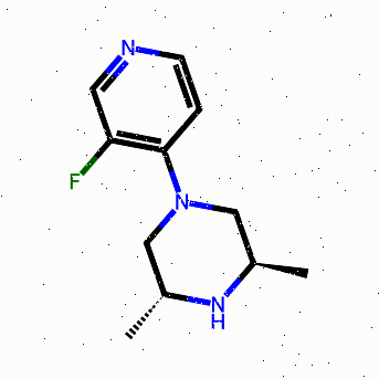 C[C@@H]1CN(c2ccncc2F)C[C@@H](C)N1